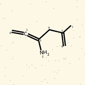 C=C=C(N)CC(=C)C